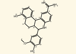 COc1cc(C2Nc3ccc(C(=N)N)cc3C3c4cccc(O)c4CCC23)ccc1O